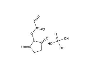 C=CC(=O)ON1C(=O)CCC1=O.O=P(O)(O)O